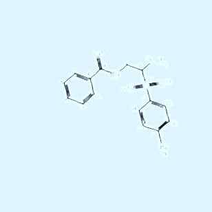 CC(COC(=O)c1ccccc1)S(=O)(=O)c1ccc(Br)cc1